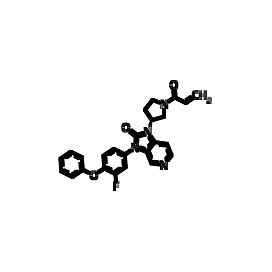 C=CC(=O)N1CC[C@@H](n2c(=O)n(-c3ccc(Oc4ccccc4)c(F)c3)c3cnccc32)C1